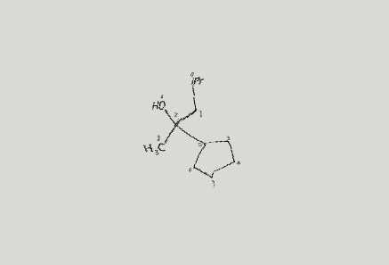 CC(C)CC(C)(O)C1CCCC1